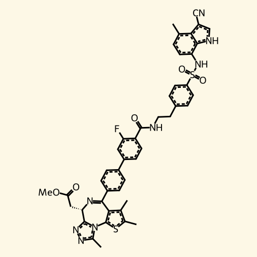 COC(=O)C[C@@H]1N=C(c2ccc(-c3ccc(C(=O)NCCc4ccc(S(=O)(=O)Nc5ccc(C)c6c(C#N)c[nH]c56)cc4)c(F)c3)cc2)c2c(sc(C)c2C)-n2c(C)nnc21